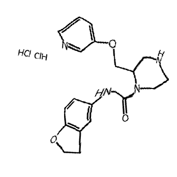 Cl.Cl.O=C(Nc1ccc2c(c1)CCO2)N1CCNCC1COc1cccnc1